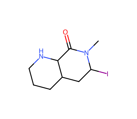 CN1C(=O)C2NCCCC2CC1I